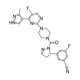 Cc1n[nH]cc1-c1nc(N2CCN(C(=O)N3N=CCC3c3cc(F)cc(C#N)c3)CC2)ncc1F